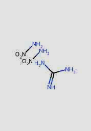 N=C(N)N.N[N+](=O)[O-].N[N+](=O)[O-]